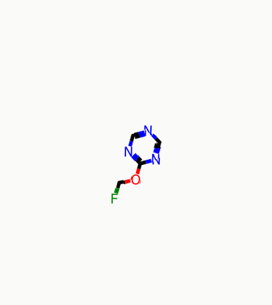 FCOc1ncncn1